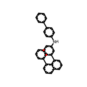 c1ccc(-c2ccc(Nc3cccc(-c4cccc5cccc(-c6ccccc6)c45)c3)cc2)cc1